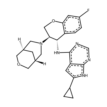 Fc1ccc2c(c1)OC[C@H](N1C[C@@H]3COC[C@H](C3)C1)[C@H]2Nc1ncnc2[nH]c(C3CC3)cc12